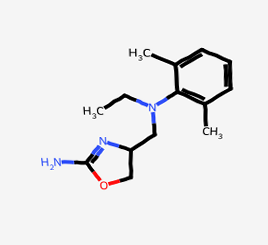 CCN(CC1COC(N)=N1)c1c(C)cccc1C